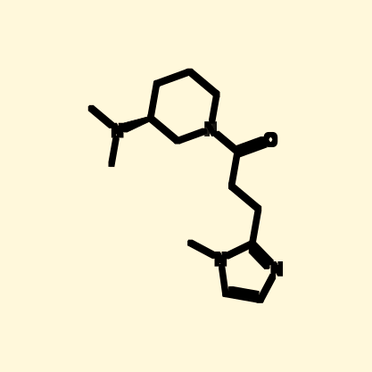 CN(C)[C@H]1CCCN(C(=O)CCc2nccn2C)C1